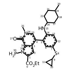 CCOC(=O)c1cc2c(-c3cc(SC4CC4)ccc3NC3CCC(C)CC3)cn(C)c(=O)c2n1P